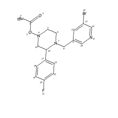 CC(C)(C)C(=O)ON1CCN(Cc2cncc(Br)c2)C(c2ccc(F)cc2)C1